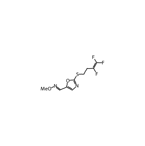 CO/N=C/c1cnc(SCCC(F)=C(F)F)o1